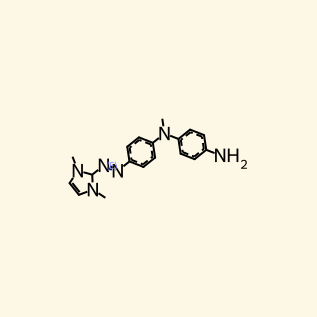 CN(c1ccc(N)cc1)c1ccc(/N=N/C2N(C)C=CN2C)cc1